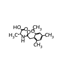 COc1cc(C)cc(C)c1CC(=O)N[C@@H](C)C(=O)O